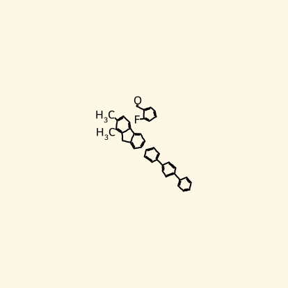 Cc1ccc2c(c1C)Cc1ccccc1-2.O=Cc1ccccc1F.c1ccc(-c2ccc(-c3ccccc3)cc2)cc1